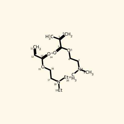 C=C(C)C(=O)OCCN(C)C.C=CC(=O)OCCN(CC)CC